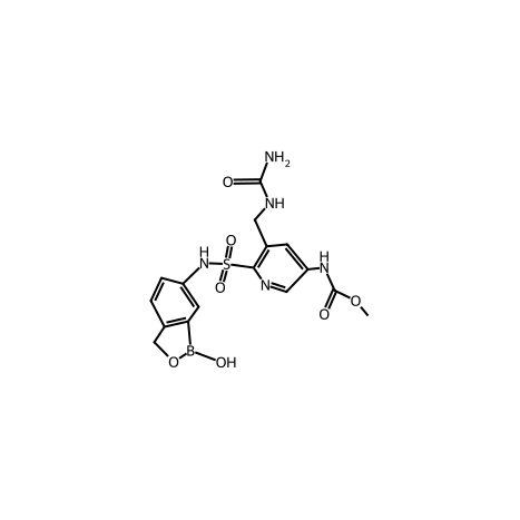 COC(=O)Nc1cnc(S(=O)(=O)Nc2ccc3c(c2)B(O)OC3)c(CNC(N)=O)c1